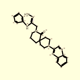 N/N=C(/CN1CCCC2(CCN(c3cnc4ccccc4n3)CC2)C1=O)Nc1ccccc1